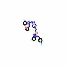 Fc1ccc(Cn2c(OCCN3CCC(Nc4nc5ccccc5n4Cc4ccco4)CC3)nc3ccccc32)cc1